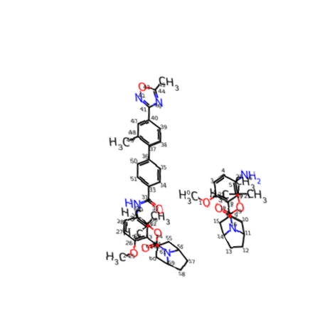 COc1ccc(N)cc1C1CC2CCC(C1)N2C(=O)OC(C)(C)C.COc1ccc(NC(=O)c2ccc(-c3ccc(-c4noc(C)n4)cc3C)cc2)cc1C1CC2CCC(C1)N2C(=O)OC(C)(C)C